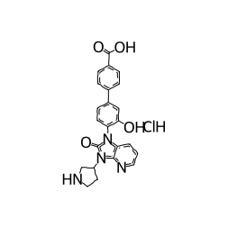 Cl.O=C(O)c1ccc(-c2ccc(-n3c(=O)n(C4CCNC4)c4ncccc43)c(O)c2)cc1